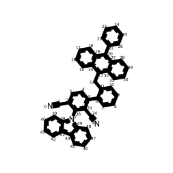 N#Cc1ccc(-c2ccccc2Cc2c3ccccc3c(-c3ccccc3)c3ccccc23)c(C#N)c1-n1c2ccccc2c2ccccc21